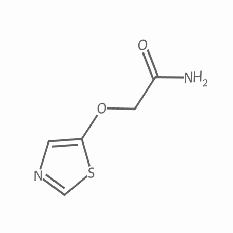 NC(=O)COc1cncs1